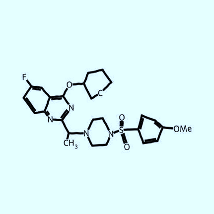 COc1ccc(S(=O)(=O)N2CCN(C(C)c3nc(OC4CCCCC4)c4cc(F)ccc4n3)CC2)cc1